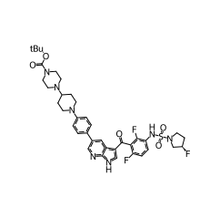 CC(C)(C)OC(=O)N1CCN(C2CCN(c3ccc(-c4cnc5[nH]cc(C(=O)c6c(F)ccc(NS(=O)(=O)N7CC[C@@H](F)C7)c6F)c5c4)cc3)CC2)CC1